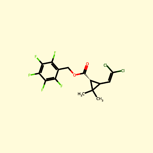 CC1(C)C(C=C(Cl)Cl)[C@H]1C(=O)OCc1c(F)c(F)c(F)c(F)c1F